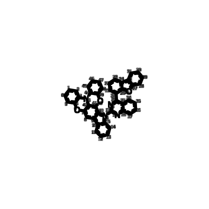 c1ccc2c(c1)Oc1cc3c4ccccc4n(-c4nc(-c5cccc6c5oc5ccccc56)c5ccccc5n4)c3c3c1N2c1ccccc1O3